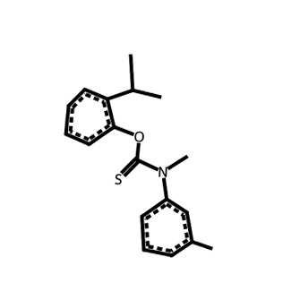 Cc1cccc(N(C)C(=S)Oc2ccccc2C(C)C)c1